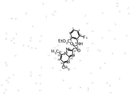 CCOC(=O)c1cccc(F)c1NS(=O)(=O)c1nc2nc(C)cc(C)n2n1